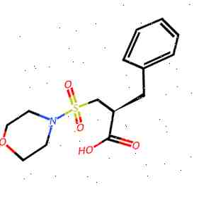 O=C(O)[C@H](Cc1ccccc1)CS(=O)(=O)N1CCOCC1